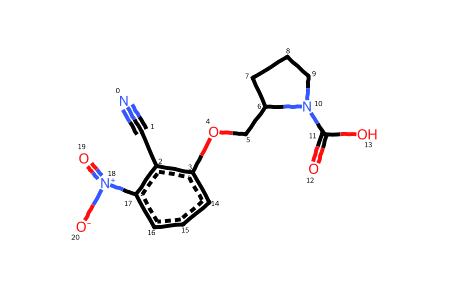 N#Cc1c(OCC2CCCN2C(=O)O)cccc1[N+](=O)[O-]